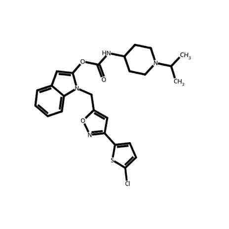 CC(C)N1CCC(NC(=O)Oc2cc3ccccc3n2Cc2cc(-c3ccc(Cl)s3)no2)CC1